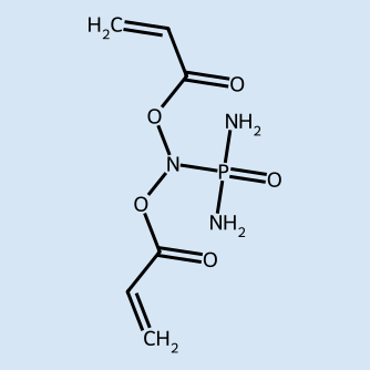 C=CC(=O)ON(OC(=O)C=C)P(N)(N)=O